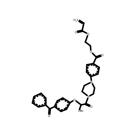 C=CC(=O)OCCOC(=O)c1ccc(N2CCN(C(=O)C(CCCC)Oc3ccc(C(=O)c4ccccc4)cc3)CC2)cc1